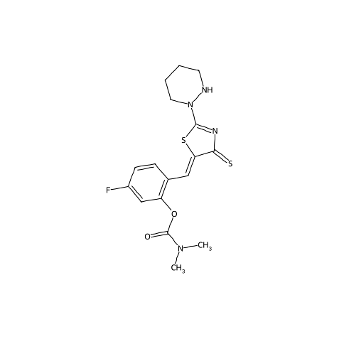 CN(C)C(=O)Oc1cc(F)ccc1C=C1SC(N2CCCCN2)=NC1=S